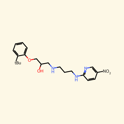 CC(C)(C)c1ccccc1OCC(O)CNCCCNc1ccc([N+](=O)[O-])cn1